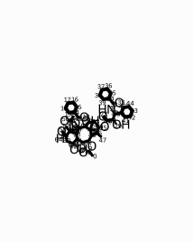 CC(=O)O[C@H]1C(=O)[C@@]2(C)[C@H]([C@H](OC(=O)c3ccccc3)[C@]3(O)CC[C@H](OC(=O)[C@H](O)[C@@H](NC(=O)c4ccccc4)c4ccccc4)C(C)=C1C3(C)C)[C@]1(OC(C)=O)CO[C@@H]1C[C@@H]2O